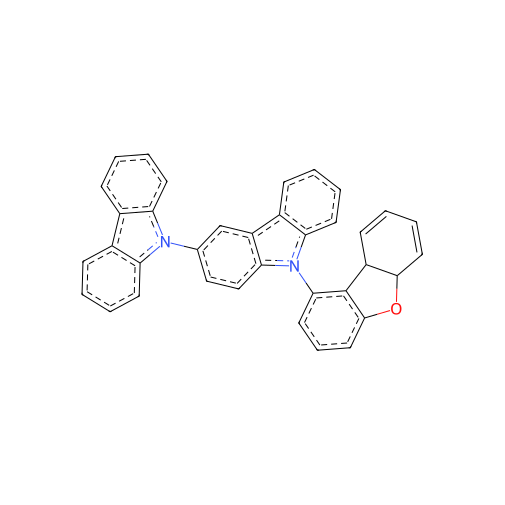 C1=CC2Oc3cccc(-n4c5ccccc5c5cc(-n6c7ccccc7c7ccccc76)ccc54)c3C2C=C1